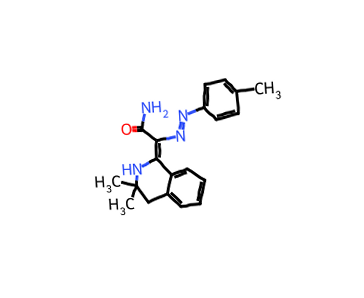 Cc1ccc(/N=N/C(C(N)=O)=C2/NC(C)(C)Cc3ccccc32)cc1